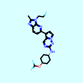 Cc1nc2ccc(-c3ccn4nc(N[C@H]5CC[C@H](OC(F)F)CC5)ncc34)nc2n1CCF